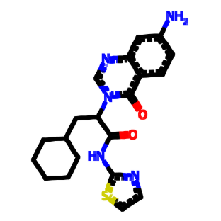 Nc1ccc2c(=O)n(C(CC3CCCCC3)C(=O)Nc3nccs3)cnc2c1